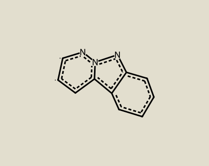 [c]1[c]nn2nc3ccccc3c2c1